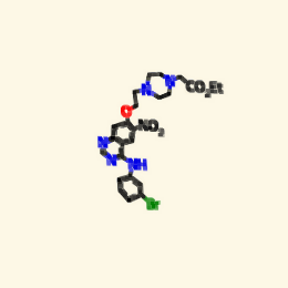 CCOC(=O)CN1CCN(CCOc2cc3ncnc(Nc4cccc(Br)c4)c3cc2[N+](=O)[O-])CC1